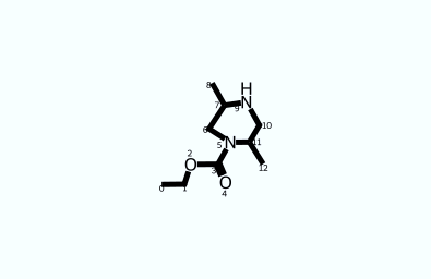 CCOC(=O)N1CC(C)NCC1C